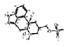 CN1CC(COS(C)(=O)=O)C[C@H]2c3cccc4[nH]nc(c34)C[C@@H]21